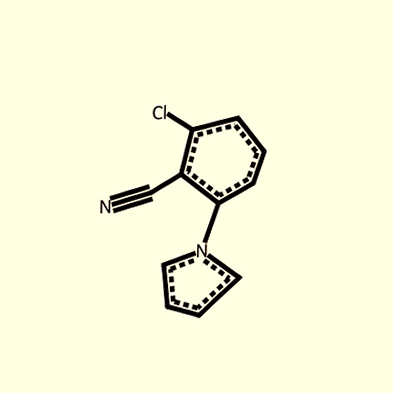 N#Cc1c(Cl)cccc1-n1cccc1